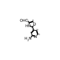 Nc1cc(C2NC(C=O)=CO2)ccn1